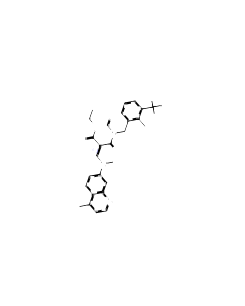 CCOC(=O)/C(=C/N(C)c1ccc2c(C)ccnc2c1)C(=O)N(C=O)Cc1cccc(C(F)(F)F)c1C